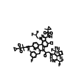 CC1(S(=O)(=O)Nc2nn(CC(F)F)c3c(-c4ccc(C#CC(C)(C)S(=O)(=O)C5CC5)nc4[C@H](Cc4cc(F)cc(F)c4)NC(=O)CNC4=C(C(=N)C(F)F)[C@H]5C=C[C@H]5C4(F)F)ccc(Cl)c23)CC1